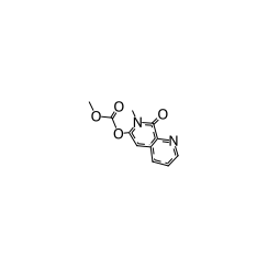 COC(=O)Oc1cc2cccnc2c(=O)n1C